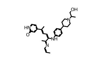 C\C=C/N=C(C)/C(=C\C=C(/C)c1cc[nH]c(=O)c1)Nc1ccc(C2CCN(C(C)CO)CC2)cc1